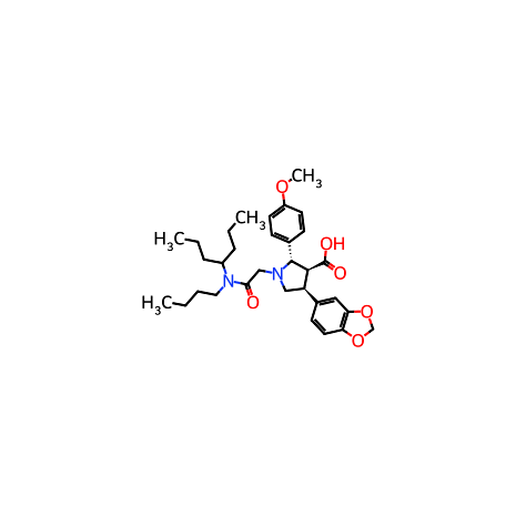 CCCCN(C(=O)CN1C[C@H](c2ccc3c(c2)OCO3)[C@H](C(=O)O)[C@H]1c1ccc(OC)cc1)C(CCC)CCC